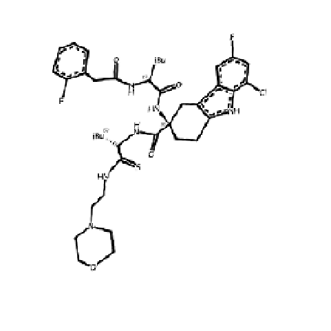 CCC(C)[C@H](NC(=O)Cc1ccccc1F)C(=O)N[C@]1(C(=O)NC(C(=S)NCCN2CCOCC2)[C@@H](C)CC)CCc2[nH]c3c(Cl)cc(F)cc3c2C1